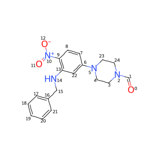 O=CN1CCN(c2ccc([N+](=O)[O-])c(NCc3ccccc3)c2)CC1